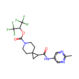 Cc1ncc(NC(=O)C2CC23CCN(C(=O)OC(C(F)(F)F)C(F)(F)F)CC3)cn1